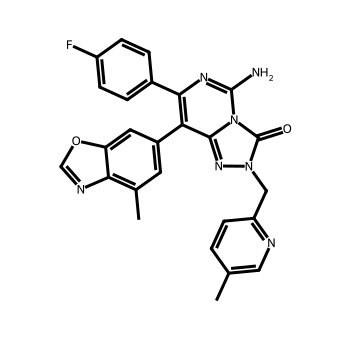 Cc1ccc(Cn2nc3c(-c4cc(C)c5ncoc5c4)c(-c4ccc(F)cc4)nc(N)n3c2=O)nc1